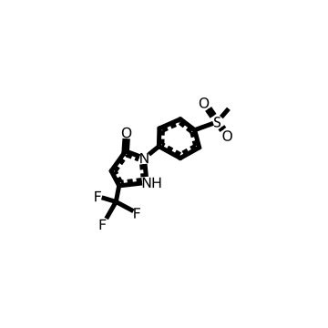 CS(=O)(=O)c1ccc(-n2[nH]c(C(F)(F)F)cc2=O)cc1